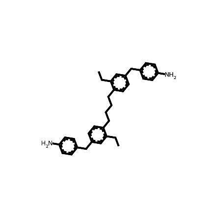 CCc1cc(Cc2ccc(N)cc2)ccc1CCCCc1ccc(Cc2ccc(N)cc2)cc1CC